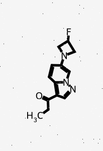 CCC(=O)c1cnn2cc(N3CC(F)C3)ccc12